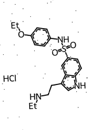 CCNCCc1c[nH]c2ccc(S(=O)(=O)Nc3ccc(OCC)cc3)cc12.Cl